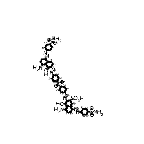 Nc1ccc(N=Nc2ccc(S(N)(=O)=O)cc2)c2ccc(N=Nc3ccc(S(=O)(=O)c4ccc(N=Nc5c(S(=O)(=O)O)cc6c(N=Nc7ccc(S(N)(=O)=O)cc7)ccc(N)c6c5O)cc4)cc3)c(O)c12